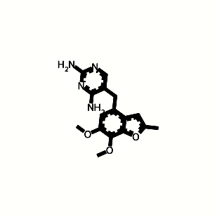 COc1cc(Cc2cnc(N)nc2N)c2cc(C)oc2c1OC